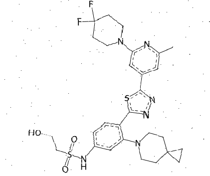 Cc1cc(-c2nnc(-c3ccc(NS(=O)(=O)CCO)cc3N3CCC4(CC3)CC4)s2)cc(N2CCC(F)(F)CC2)n1